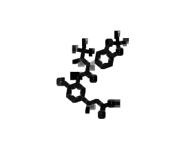 C[C@H](CC(=O)O)c1ccc(Cl)c(NC(=O)[C@@H](c2ccc3c(c2)OC(F)(F)O3)[C@@H](C)C(F)(F)F)c1